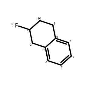 FC1[CH]c2ccccc2CC1